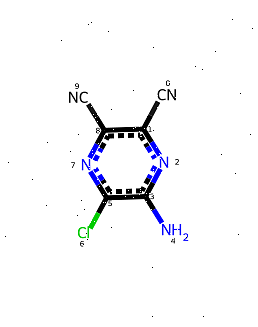 N#Cc1nc(N)c(Cl)nc1C#N